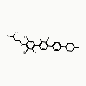 CCc1cc(-c2ccc(-c3ccc(C4CCC(C)CC4)cc3)c(F)c2F)c(CC)c(CC)c1OCCC(CC)CC